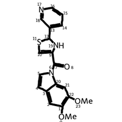 COc1cc2ccn(C(=O)C3=CSC(c4cccnc4)N3)c2cc1OC